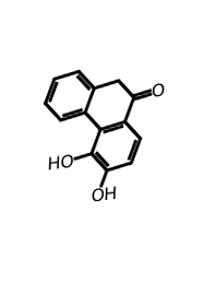 O=C1Cc2ccccc2-c2c1ccc(O)c2O